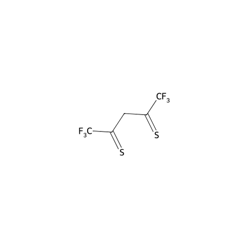 FC(F)(F)C(=S)CC(=S)C(F)(F)F